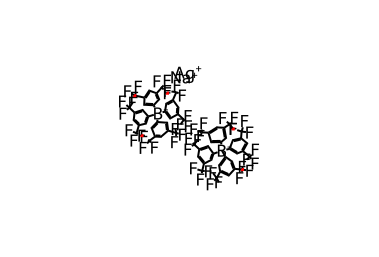 FC(F)(F)c1cc([B-](c2cc(C(F)(F)F)cc(C(F)(F)F)c2)(c2cc(C(F)(F)F)cc(C(F)(F)F)c2)c2cc(C(F)(F)F)cc(C(F)(F)F)c2)cc(C(F)(F)F)c1.FC(F)(F)c1cc([B-](c2cc(C(F)(F)F)cc(C(F)(F)F)c2)(c2cc(C(F)(F)F)cc(C(F)(F)F)c2)c2cc(C(F)(F)F)cc(C(F)(F)F)c2)cc(C(F)(F)F)c1.[Ag+].[Na+]